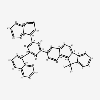 CC1(C)c2ccccc2-c2ccc3cc(-c4nc(-c5cccc6ccccc56)cc(-c5cccc6ccccc56)n4)ccc3c21